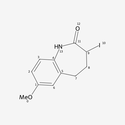 COc1ccc2c(c1)CCC(I)C(=O)N2